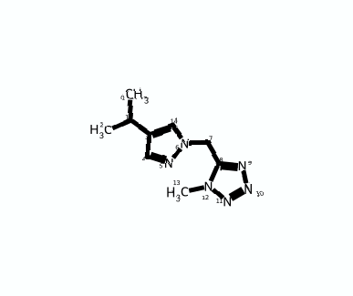 CC(C)c1cnn(Cc2nnnn2C)c1